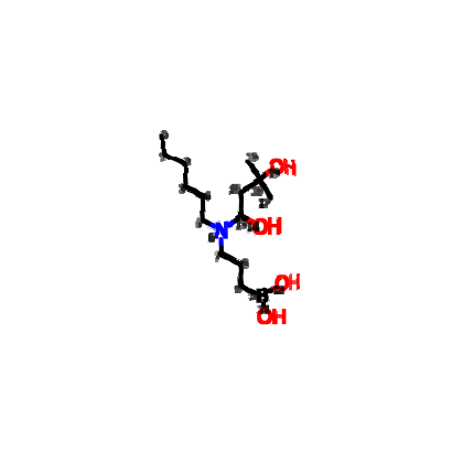 CCCCCCN(CCCB(O)O)C(O)CC(C)(C)O